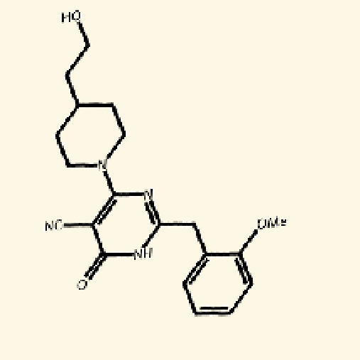 COc1ccccc1Cc1nc(N2CCC(CCO)CC2)c(C#N)c(=O)[nH]1